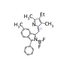 CCC1=C(C)/C(=C/c2c3cc(C)ccc3c(-c3ccccc3)n2B(F)F)N=C1C